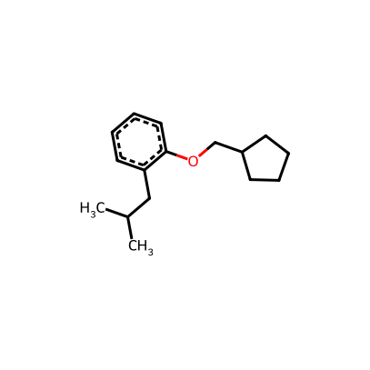 CC(C)Cc1ccccc1OCC1CCCC1